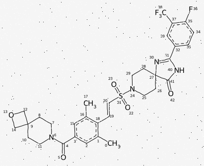 Cc1cc(C(=O)N2CCC3(CC2)COC3)cc(C)c1C=CS(=O)(=O)N1CCC2(CC1)N=C(c1ccc(F)c(C(F)(F)F)c1)NC2=O